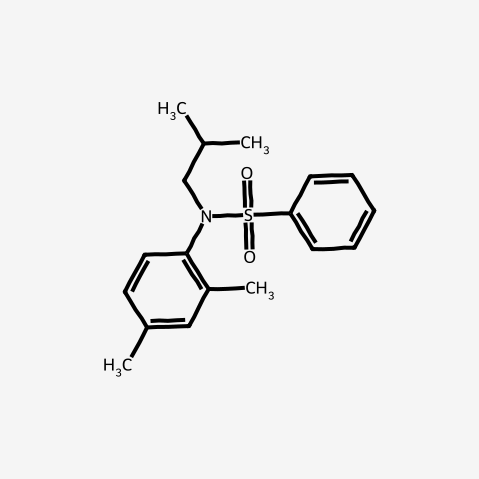 Cc1ccc(N(CC(C)C)S(=O)(=O)c2ccccc2)c(C)c1